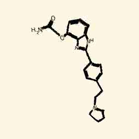 NC(=O)Oc1cccc2[nH]c(-c3ccc(CCN4CCCC4)cc3)nc12